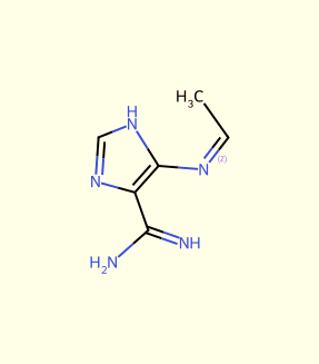 C/C=N\c1[nH]cnc1C(=N)N